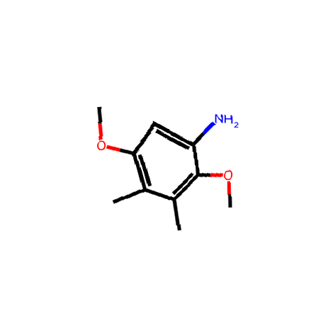 COc1cc(N)c(OC)c(C)c1C